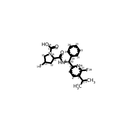 CC(C)c1ccc([C@@H](NC(=O)C2CC(F)CN2C(=O)O)c2ccccc2)nc1F